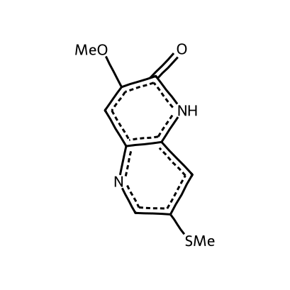 COc1cc2ncc(SC)cc2[nH]c1=O